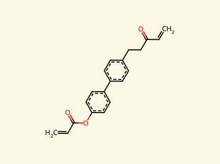 C=CC(=O)CCc1ccc(-c2ccc(OC(=O)C=C)cc2)cc1